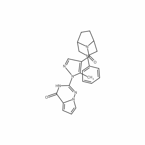 Cc1c(C(=O)N2C3CCC2CN(c2ccccc2)C3)cnn1-c1nn2cccc2c(=O)[nH]1